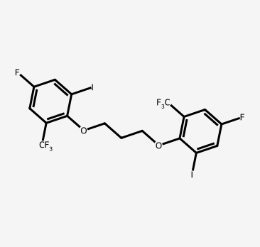 Fc1cc(I)c(OCCCOc2c(I)cc(F)cc2C(F)(F)F)c(C(F)(F)F)c1